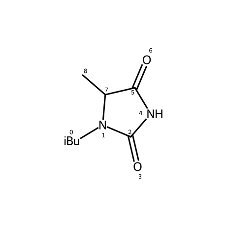 CCC(C)N1C(=O)NC(=O)C1C